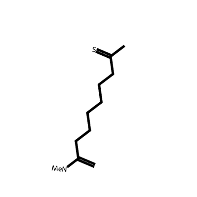 C=C(CCCCCCC(C)=S)NC